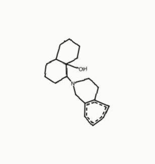 OC12CCCCC1CCCC2N1CCc2ccccc2C1